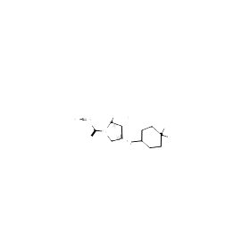 CC1(C)CCC(N[C@@H]2CN(C(=O)OC(C)(C)C)[C@](C)(C(=O)O)C2)CC1